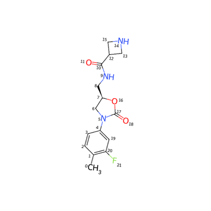 Cc1ccc(N2C[C@@H](CNC(=O)C3CNC3)OC2=O)cc1F